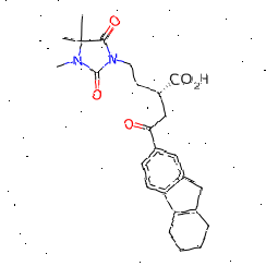 CN1C(=O)N(CC[C@@H](CC(=O)c2ccc3c(c2)CC2=C3CCCC2)C(=O)O)C(=O)C1(C)C